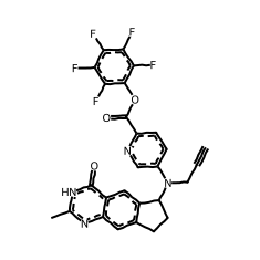 C#CCN(c1ccc(C(=O)Oc2c(F)c(F)c(F)c(F)c2F)nc1)C1CCc2cc3nc(C)[nH]c(=O)c3cc21